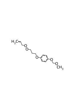 C=CCOOCCCOc1ccc(OCOC)cc1